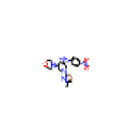 Cc1csc(N2C[C@@H](Nc3ccc([N+](=O)[O-])cc3)C[C@H](N3CCOCC3)C2)n1